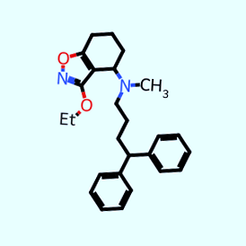 CCOc1noc2c1C(N(C)CCCC(c1ccccc1)c1ccccc1)CCC2